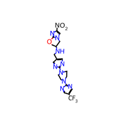 O=[N+]([O-])c1cn2c(n1)OCC(NCc1cnc(N3CCN(c4ncc(C(F)(F)F)cn4)CC3)nc1)C2